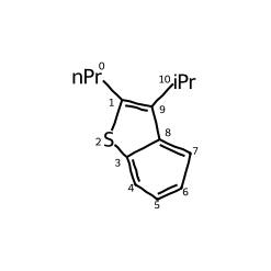 CCCc1sc2ccccc2c1C(C)C